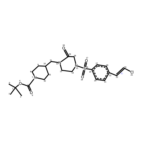 CC(C)(C)OC(=O)N1CCC(CN2CCN(S(=O)(=O)c3ccc(/C=C/Cl)cc3)CC2=O)CC1